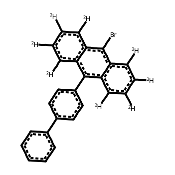 [2H]c1c([2H])c([2H])c2c(-c3ccc(-c4ccccc4)cc3)c3c([2H])c([2H])c([2H])c([2H])c3c(Br)c2c1[2H]